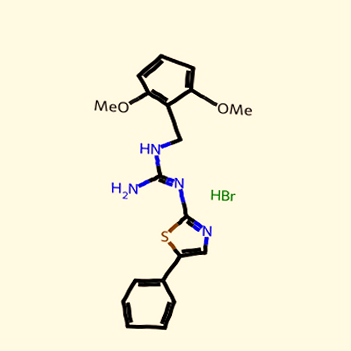 Br.COc1cccc(OC)c1CNC(N)=Nc1ncc(-c2ccccc2)s1